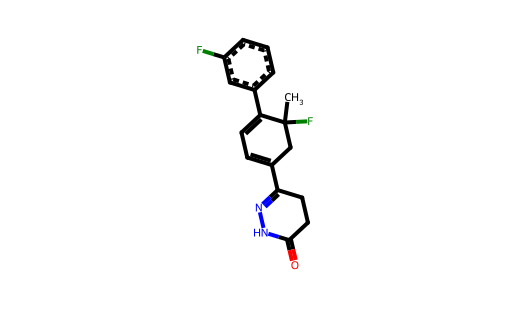 CC1(F)CC(C2=NNC(=O)CC2)=CC=C1c1cccc(F)c1